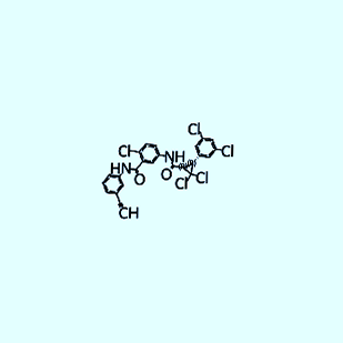 C#Cc1cccc(NC(=O)c2cc(NC(=O)[C@H]3[C@H](c4cc(Cl)cc(Cl)c4)C3(Cl)Cl)ccc2Cl)c1